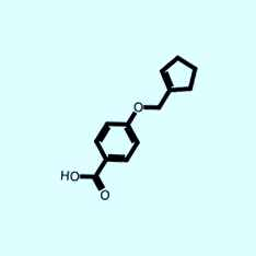 O=C(O)c1ccc(OCC2=CCCC2)cc1